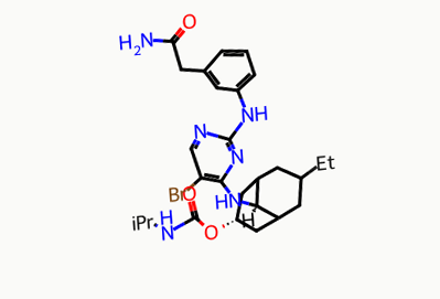 CCC1CC2C[C@H](OC(=O)NC(C)C)CC(C1)[C@@H]2Nc1nc(Nc2cccc(CC(N)=O)c2)ncc1Br